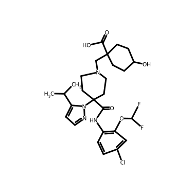 CC(C)c1ccnn1C1(C(=O)Nc2ccc(Cl)cc2OC(F)F)CCN(CC2(C(=O)O)CCC(O)CC2)CC1